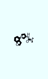 CN(C)C(=O)N[C@H]1CCN(c2cccc3c2CCO3)C1